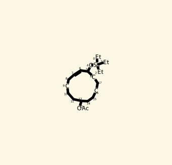 CC[Si](CC)(CC)OC1C=CCCCCC(OC(C)=O)CCCCC1